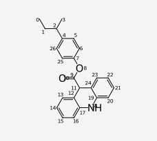 CCC(C)c1ccc(OC(=O)C2c3ccccc3Nc3ccccc32)cc1